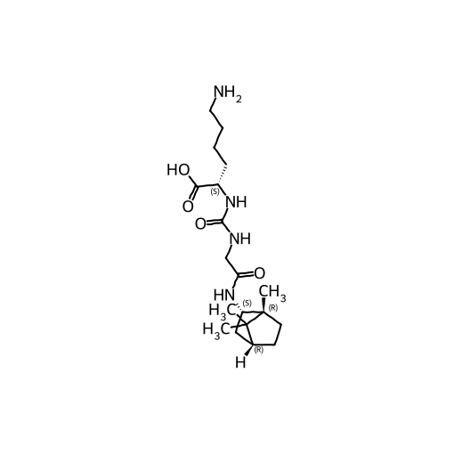 CC1(C)[C@@H]2CC[C@@]1(C)[C@@H](NC(=O)CNC(=O)N[C@@H](CCCCN)C(=O)O)C2